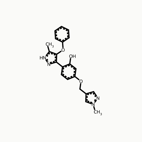 Cc1[nH]nc(-c2ccc(OCc3cnn(C)c3)cc2O)c1Oc1ccccc1